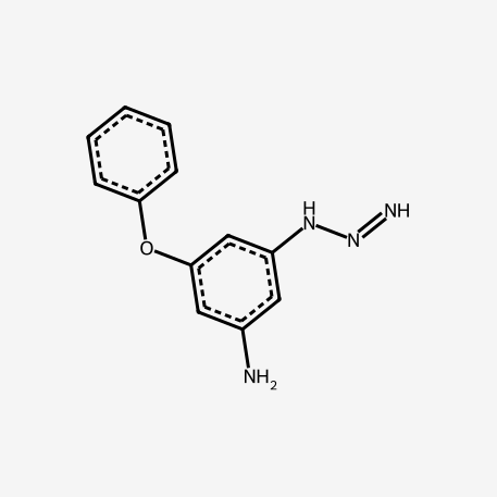 N=NNc1cc(N)cc(Oc2ccccc2)c1